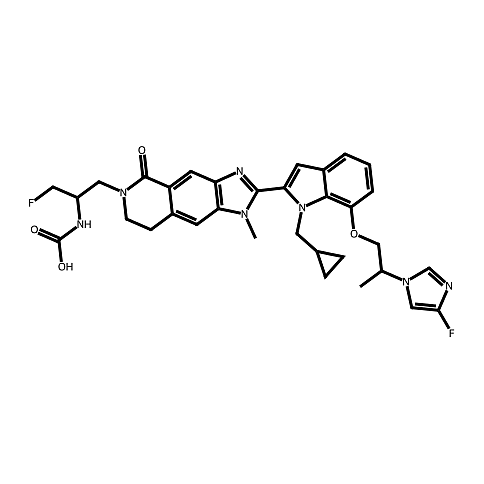 CC(COc1cccc2cc(-c3nc4cc5c(cc4n3C)CCN(CC(CF)NC(=O)O)C5=O)n(CC3CC3)c12)n1cnc(F)c1